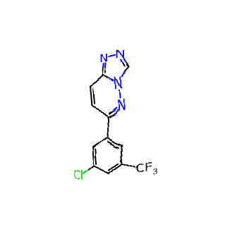 FC(F)(F)c1cc(Cl)cc(-c2ccc3nncn3n2)c1